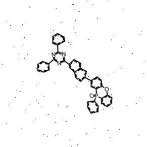 O=P1(c2ccccc2)c2ccccc2Oc2ccc(-c3ccc4cc(-c5nc(-c6ccccc6)nc(-c6ccccc6)n5)ccc4c3)cc21